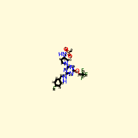 CS(=O)(=O)NC1CCN(c2nc(NCc3ccc(F)cc3)nc(OCC(F)(F)F)n2)C1